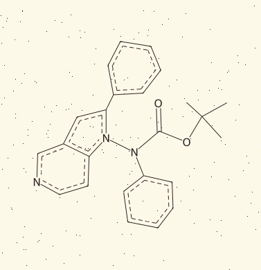 CC(C)(C)OC(=O)N(c1ccccc1)n1c(-c2ccccc2)cc2cnccc21